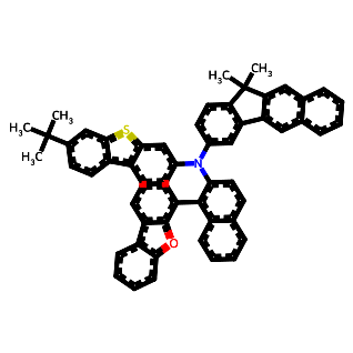 CC(C)(C)c1ccc2c(c1)sc1cc(N(c3ccc4c(c3)-c3cc5ccccc5cc3C4(C)C)c3ccc4ccccc4c3-c3cccc4c3oc3ccccc34)ccc12